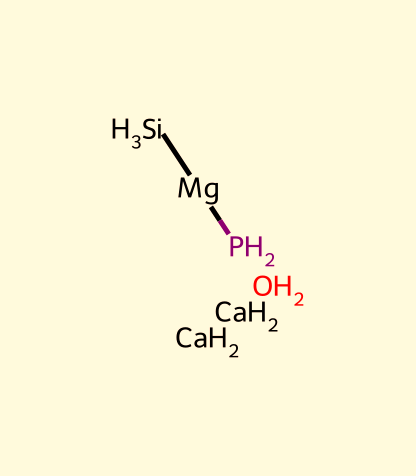 O.[CaH2].[CaH2].[SiH3][Mg][PH2]